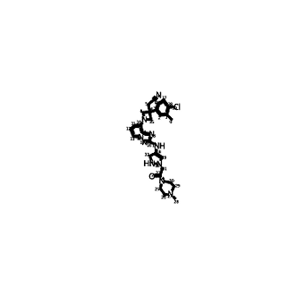 Cc1cc(C2(CC#N)CN(c3cccn4nc(NC5=CN(CC(=O)N6CCN(C)CC6)NC5)nc34)C2)ccc1Cl